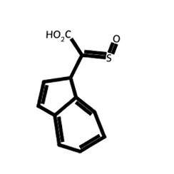 O=S=C(C(=O)O)C1C=Cc2ccccc21